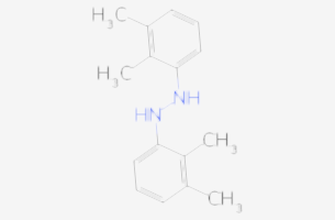 Cc1cccc(NNc2cccc(C)c2C)c1C